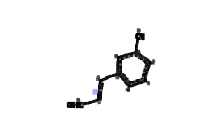 N#Cc1cccc(/C=C/C=O)c1